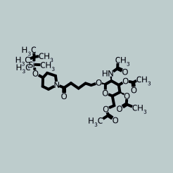 CC(=O)N[C@H]1C(OC(C)=O)[C@@H](OC(C)=O)C(COC(C)=O)O[C@H]1OCCCCC(=O)N1CCC(O[Si](C)(C)C(C)(C)C)CC1